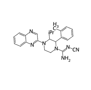 Cc1ccccc1C1C(C(C)C)N(c2cnc3ccccc3n2)CCN1C(N)=NC#N